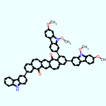 COc1ccc2c3ccc(-c4cc(-c5ccc6c7ccc(OC)cc7n(OC)c6c5)c5c(=O)c6cc7ccc8ccc(-c9ccc%10[nH]c%11ccccc%11c%10c9)cc8c(=O)c7cc6ccc5c4)cc3n(OC)c2c1